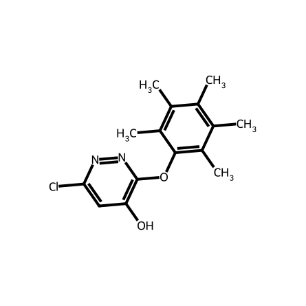 Cc1c(C)c(C)c(Oc2nnc(Cl)cc2O)c(C)c1C